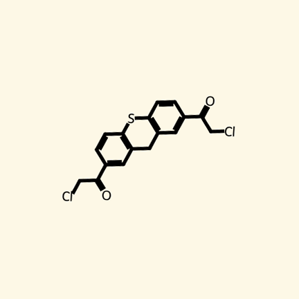 O=C(CCl)c1ccc2c(c1)Cc1cc(C(=O)CCl)ccc1S2